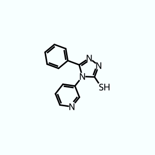 Sc1nnc(-c2ccccc2)n1-c1cccnc1